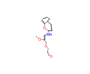 CO/C(=C/NC1C=Cc2ccccc2O1)COCC=C=O